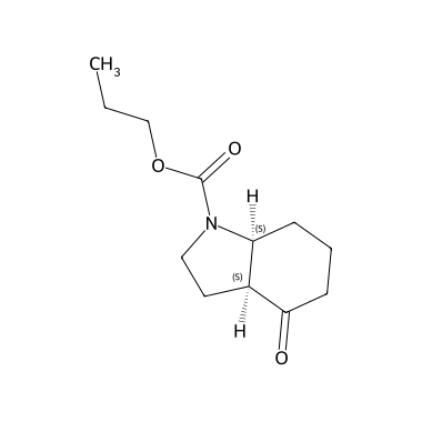 CCCOC(=O)N1CC[C@@H]2C(=O)CCC[C@@H]21